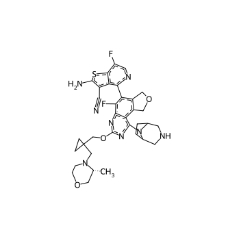 C[C@@H]1COCCN1CC1(COc2nc(N3C4CCC3CNC4)c3c4c(c(-c5ncc(F)c6sc(N)c(C#N)c56)c(F)c3n2)COC4)CC1